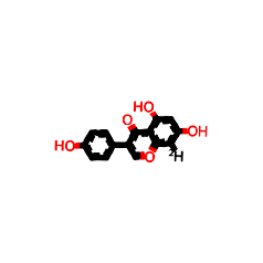 [2H]c1c(O)cc(O)c2c(=O)c(-c3ccc(O)cc3)coc12